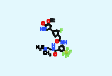 CCOc1cc(-c2ccc(CC(=O)Nc3cc(C(=O)NCCN(C)C)cc(S(F)(F)(F)(F)F)c3)c(F)c2)c[nH]c1=O